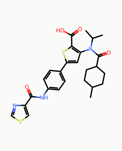 CC1CCC(C(=O)N(c2cc(-c3ccc(NC(=O)c4cscn4)cc3)sc2C(=O)O)C(C)C)CC1